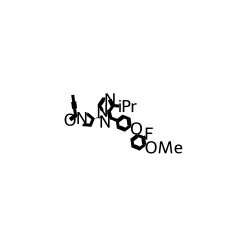 CC#CC(=O)N1CC[C@@H](c2nc(-c3ccc(Oc4cccc(OC)c4F)cc3)c3c(C(C)C)nccn23)C1